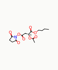 CCCCOC(=O)[C@H](CC(=O)ON1C(=O)CCC1=O)OC(C)=O